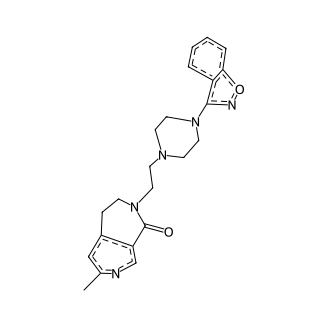 Cc1cc2c(cn1)C(=O)N(CCN1CCN(c3noc4ccccc34)CC1)CC2